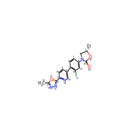 CC[C@H]1CN(c2ccc(-c3ccc(-c4nnc(C)o4)nc3)c(F)c2)C(=O)O1